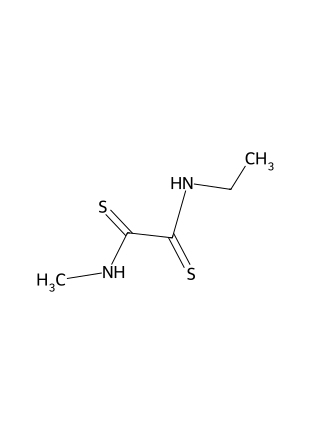 CCNC(=S)C(=S)NC